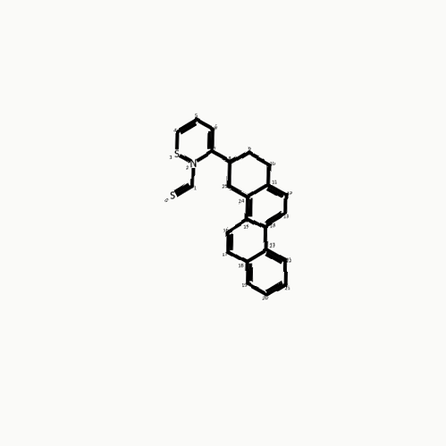 S=CN1SC=CC=C1C1CCc2ccc3c(ccc4ccccc43)c2C1